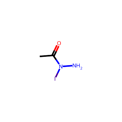 CC(=O)N(N)I